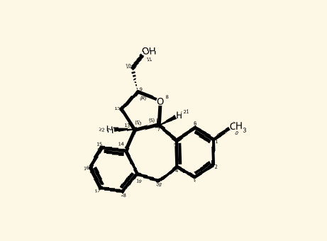 Cc1ccc2c(c1)[C@H]1O[C@@H](CO)C[C@H]1c1ccccc1C2